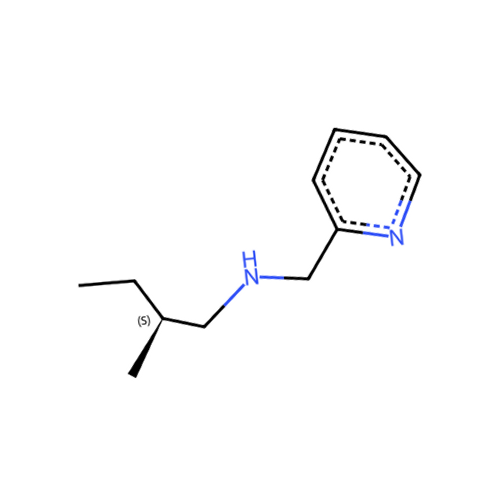 CC[C@H](C)CNCc1ccccn1